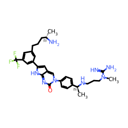 C[C@H](N)CCCc1cc(-c2cc3cn(-c4ccc([C@H](C)NCCCN(C)C(=N)N)cc4)c(=O)nc3[nH]2)cc(C(F)(F)F)c1